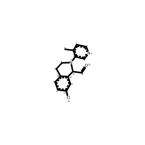 Cc1ccncc1N1CCc2ccc(Cl)cc2C1C=O